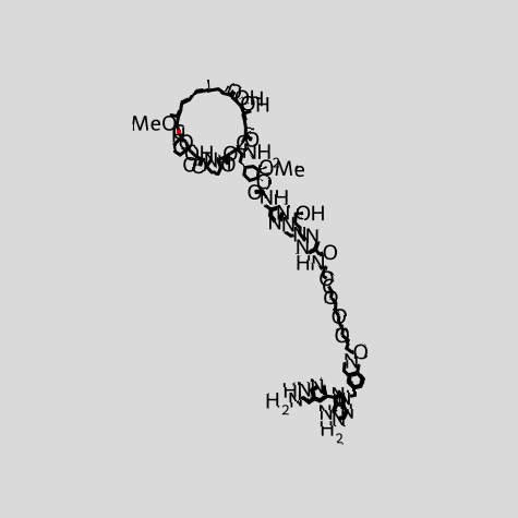 CO[C@H]1C[C@@H]2CCC[C@@](O)(O2)C(=O)C(=O)N2CCCC[C@H]2C(=O)O[C@H]([C@H](N)C[C@@H]2CC[C@@H](OC(=O)NCc3cnc(N4CCN(c5ncc(C(=O)NCCOCCOCCOCCOCCC(=O)N6CCc7cc(Cn8nc(-c9cnc%10[nH]c(N)cc%10c9)c9c(N)ncnc98)ccc7C6)cn5)CC4CO)nc3)[C@H](OC)C2)CC(=O)[C@H](C)/C=C(\C)[C@@H](O)[C@@H](O)C(=O)[C@H](C)C[C@H](C)/C=C/C=C/C=C/1C